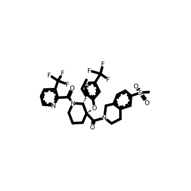 CCC[C@H]1N(C(=O)c2ncccc2C(F)(F)F)CCC[C@]1(Oc1csc(C(F)(F)F)c1)C(=O)N1CCc2cc(S(C)(=O)=O)ccc2C1